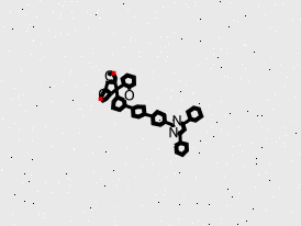 c1ccc(-c2cc(-c3ccccc3)nc(-c3ccc(-c4ccc(-c5cccc6c5Oc5ccccc5C65c6ccccc6-c6ccccc65)cc4)cc3)n2)cc1